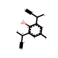 C#CC(C)c1cc(C)cc(C(C)C#C)c1O